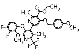 CCOC(=O)c1c(OCc2ccc(OC)cc2)cc(-c2c(Oc3ccc(F)c(F)c3OC)cnc(C(F)(F)F)c2C)nc1C